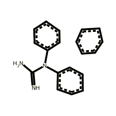 N=C(N)N(c1ccccc1)c1ccccc1.c1ccccc1